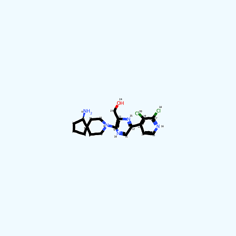 N[C@@H]1CCCC12CCN(c1ncc(-c3ccnc(Cl)c3Cl)nc1CO)CC2